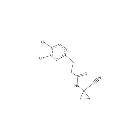 N#CC1(NC(=O)CCc2ccc(Cl)c(Cl)c2)CC1